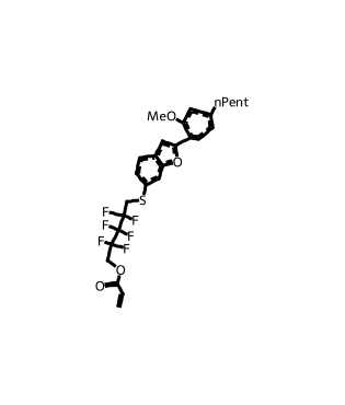 C=CC(=O)OCC(F)(F)C(F)(F)C(F)(F)CSc1ccc2cc(-c3ccc(CCCCC)cc3OC)oc2c1